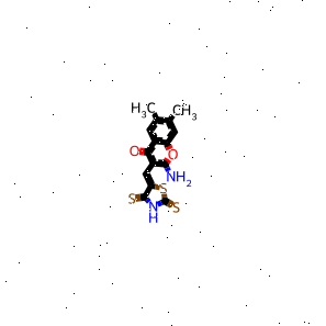 Cc1cc2oc(N)c(C=C3SC(=S)NC3=S)c(=O)c2cc1C